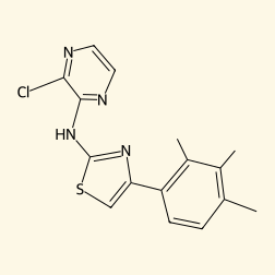 Cc1ccc(-c2csc(Nc3nccnc3Cl)n2)c(C)c1C